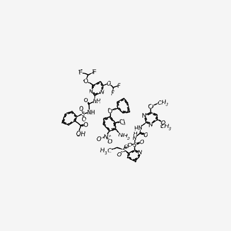 CCS(=O)(=O)c1cccnc1S(=O)(=O)NC(=O)Nc1nc(OC)cc(OC)n1.Nc1c([N+](=O)[O-])ccc(Oc2ccccc2)c1Cl.O=C(Nc1nc(OC(F)F)cc(OC(F)F)n1)NS(=O)(=O)c1ccccc1C(=O)O